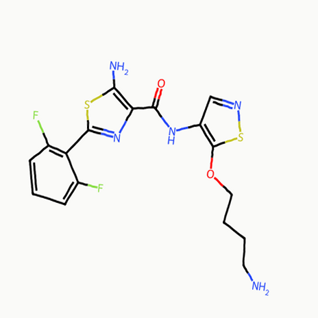 NCCCCOc1sncc1NC(=O)c1nc(-c2c(F)cccc2F)sc1N